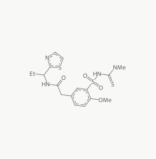 CCC(NC(=O)Cc1ccc(OC)c(S(=O)(=O)NC(=S)NC)c1)c1nccs1